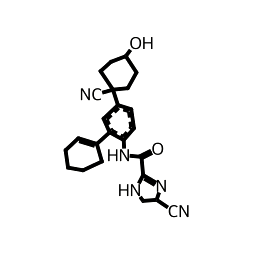 N#CC1CNC(C(=O)Nc2ccc(C3(C#N)CCC(O)CC3)cc2C2=CCCCC2)=N1